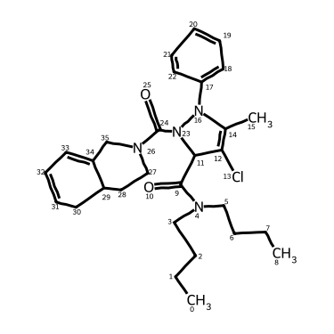 CCCCN(CCCC)C(=O)C1C(Cl)=C(C)N(c2ccccc2)N1C(=O)N1CCC2CC=CC=C2C1